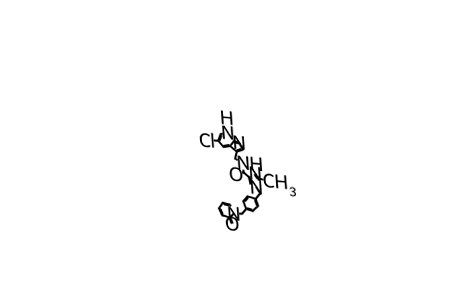 Cc1nc(C(=O)NCc2cnc3[nH]cc(Cl)cc2-3)cn1Cc1ccc(Cn2ccccc2=O)cc1